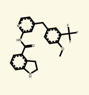 COc1ccc(Cc2ccnc(NC(=O)c3cccc4c3CCN4)c2)cc1C(F)(F)F